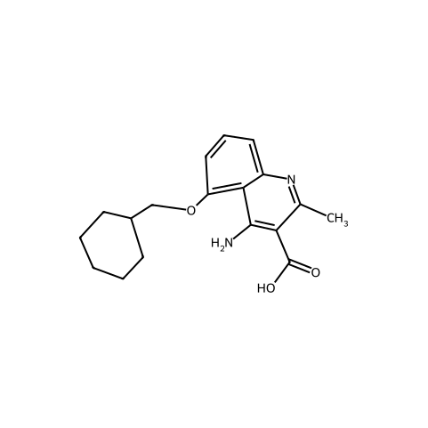 Cc1nc2cccc(OCC3CCCCC3)c2c(N)c1C(=O)O